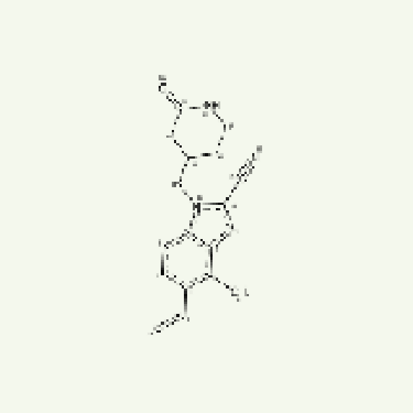 Cc1c(C=O)ccc2c1cc(C#N)n2CC1CCNC(=O)C1